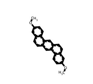 COc1ccc2c(ccc3cc4c(ccc5cc(OC)ccc54)cc32)c1